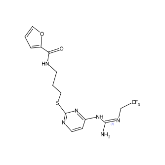 N/C(=N/CC(F)(F)F)Nc1ccnc(SCCCNC(=O)c2ccco2)n1